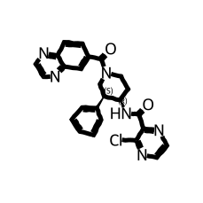 O=C(N[C@@H]1CCN(C(=O)c2ccc3nccnc3c2)C[C@@H]1c1ccccc1)c1nccnc1Cl